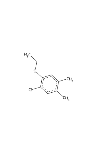 CCOc1cc(C)c(C)cc1Cl